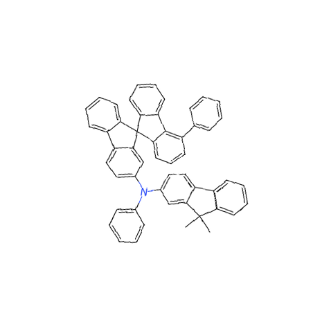 CC1(C)c2ccccc2-c2ccc(N(c3ccccc3)c3ccc4c(c3)C3(c5ccccc5-4)c4ccccc4-c4c(-c5ccccc5)cccc43)cc21